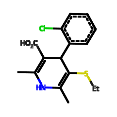 CCSC1=C(C)NC(C)=C(C(=O)O)C1c1ccccc1Cl